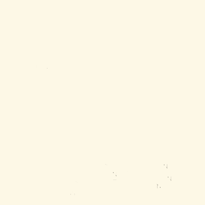 O=C1CC(CCC2CCCC(CCC(=O)OCc3ccc(Cl)cc3)CC2)CC(C(=O)Nc2ccc3[nH]nnc3c2)C1